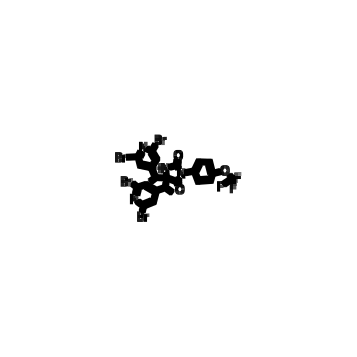 CC(c1cc(Br)nc(Br)c1)C1(C(C)c2cc(Br)nc(Br)c2)NC(=O)N(c2ccc(OC(F)(F)F)cc2)C1=O